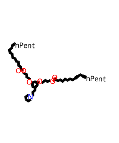 CCCCCC#CCC#CCCCCCCCC(=O)OCCCCOc1cc(CCCN2CCCCC2)cc(OCCCCOC(=O)CCCCCCC/C=C\C/C=C\CCCCC)c1